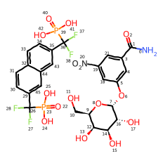 NC(=O)c1cc(O[C@H]2O[C@H](CO)[C@H](O)[C@H](O)[C@H]2O)cc([N+](=O)[O-])c1.O=P(O)(O)C(F)(F)c1ccc2ccc(C(F)(F)P(=O)(O)O)cc2c1